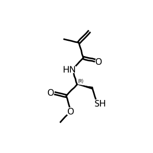 C=C(C)C(=O)N[C@@H](CS)C(=O)OC